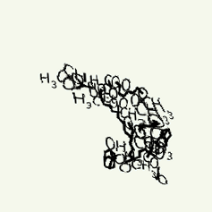 CCC(C)(CCCC(C)(CCCC(C)(CCCC(C)(CCCC(C)(C)C(=O)OCC1CO1)C(=O)OC12CC3CC(CC(O)(C3)C1)C2)C(=O)OCC(=O)OC1C2CC3C(=O)OC1C3C2)C(=O)OC1C(C2COC(C)(C)O2)OC2OC(C)(C)OC21)C(=O)OCC1COC(C)(C)O1